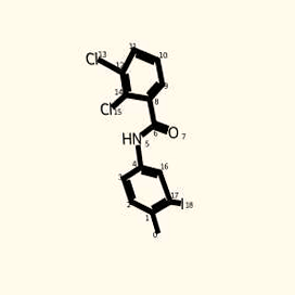 Cc1ccc(NC(=O)c2cccc(Cl)c2Cl)cc1I